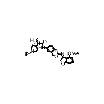 COc1cccc2c1C(NC1=Nc3ccc(NC(=O)N(C)C4CCN(C(C)C)CC4)cc3CO1)CO2